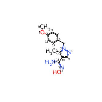 COc1ccc(Cn2ncc(/C(N)=N/O)c2C)cc1